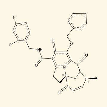 C[C@H]1C=CC(=O)[C@]23CCc4c(C(=O)NCc5ccc(F)cc5F)c(=O)c(OCc5ccccc5)c(n42)C(=O)N1C3